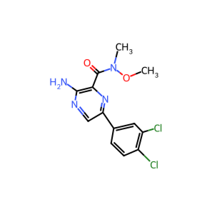 CON(C)C(=O)c1nc(-c2ccc(Cl)c(Cl)c2)cnc1N